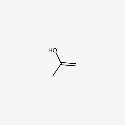 [CH]C(=C)O